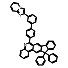 c1ccc(C2(c3ccccc3)c3ccccc3-c3cc4c(-c5ccc(-c6cccc(-c7cn8ccccc8n7)c6)cc5)nc5ccccc5c4cc32)cc1